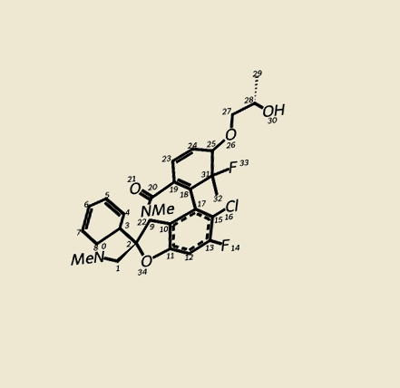 CNC[C@@]1(C2C=CC=CC2)Cc2c(cc(F)c(Cl)c2C2=C(C(=O)NC)C=CC(OC[C@H](C)O)C2(C)F)O1